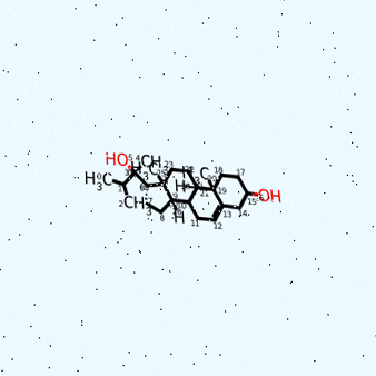 CC(C)[C@](C)(O)[C@H]1CC[C@H]2C3CC=C4CC(O)CCC4(C)[C@H]3CCC21C